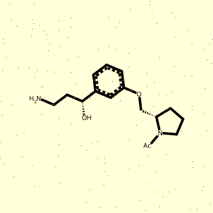 CC(=O)N1CCC[C@H]1COc1cccc([C@H](O)CCN)c1